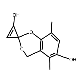 Cc1cc(O)c(C)c2c1OC1(C=C1O)CC2